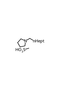 CCCCCCCCN1CCCC1.CS(=O)(=O)O